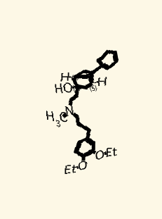 CCOc1ccc(CCCN(C)CC[C@@]2(O)C[C@@H]3CC[C@H]2C=C3c2ccccc2)cc1OCC